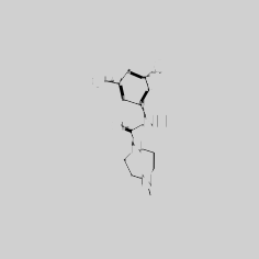 CN1CCN(C(=O)Nc2cc(Cl)cc(Cl)c2)CC1